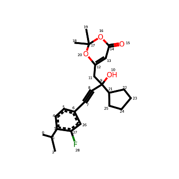 CC(C)c1ccc(C#CC(O)(CC2=CC(=O)OC(C)(C)O2)C2CCCC2)cc1F